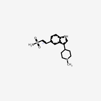 CN1CCC(c2c[nH]c3ccc(/C=C/S(N)(=O)=O)cc23)CC1